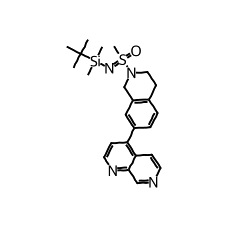 CC(C)(C)[Si](C)(C)N=S(C)(=O)N1CCc2ccc(-c3ccnc4cnccc34)cc2C1